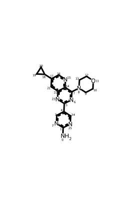 Nc1ncc(-c2nc(N3CCOCC3)c3ncc(C4CC4)cc3n2)cn1